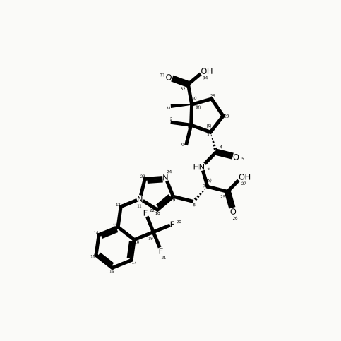 CC1(C)[C@@H](C(=O)N[C@@H](Cc2cn(Cc3ccccc3C(F)(F)F)cn2)C(=O)O)CC[C@@]1(C)C(=O)O